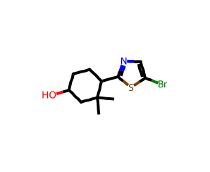 CC1(C)CC(O)CCC1c1ncc(Br)s1